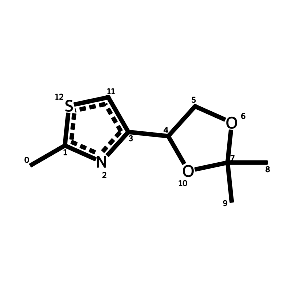 Cc1nc(C2COC(C)(C)O2)cs1